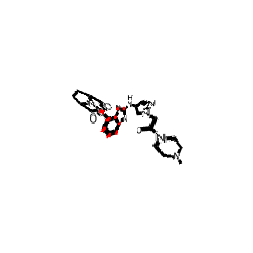 CSc1ccccc1S(=O)(=O)N1C2CCC1CN(c1cccn3nc(Nc4cnn(CC(=O)N5CCN(C)CC5)c4)nc13)C2